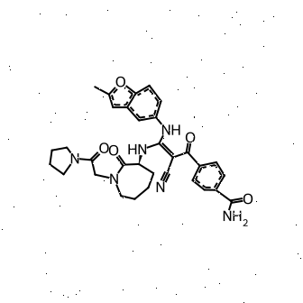 Cc1cc2cc(NC(N[C@H]3CCCCN(CC(=O)N4CCCC4)C3=O)=C(C#N)C(=O)c3ccc(C(N)=O)cc3)ccc2o1